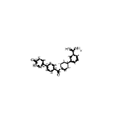 N=C(N)c1cccc(C2CCN(C(=O)c3ccc(-c4ccc(=O)[nH]n4)cc3)CC2)c1